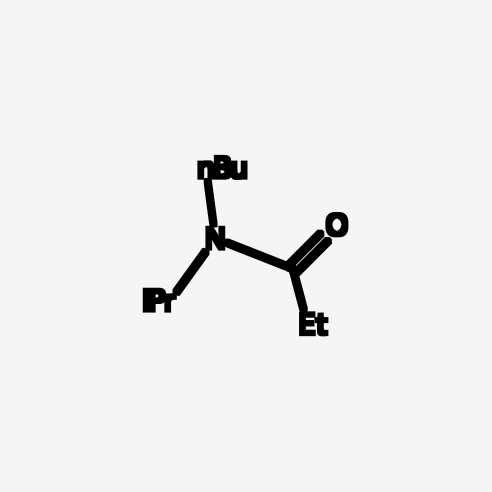 CCCCN(C(=O)CC)C(C)C